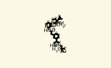 CC1(CN/C=C(\C=N)c2cccc(CC(=O)Nc3cc(N4CC[C@@](N)(C5CC5)C4(C)O)ccn3)c2)COC1